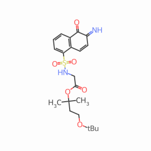 CC(C)(C)OCCC(C)(C)OC(=O)CNS(=O)(=O)c1cccc2c1C=CC(=N)C2=O